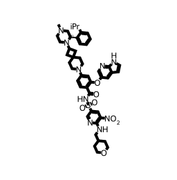 CC(C)c1ccccc1[C@@H]1CN(C)CCN1C1CC2(CCN(c3ccc(C(=O)NS(=O)(=O)c4cnc(NCC5CCOCC5)c([N+](=O)[O-])c4)c(Oc4cnc5[nH]ccc5c4)c3)CC2)C1